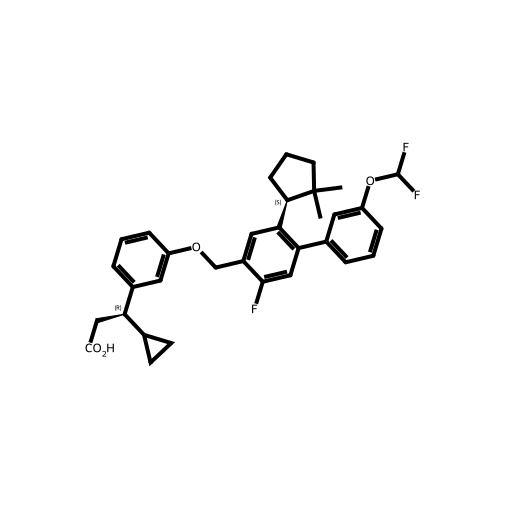 CC1(C)CCC[C@@H]1c1cc(COc2cccc([C@H](CC(=O)O)C3CC3)c2)c(F)cc1-c1cccc(OC(F)F)c1